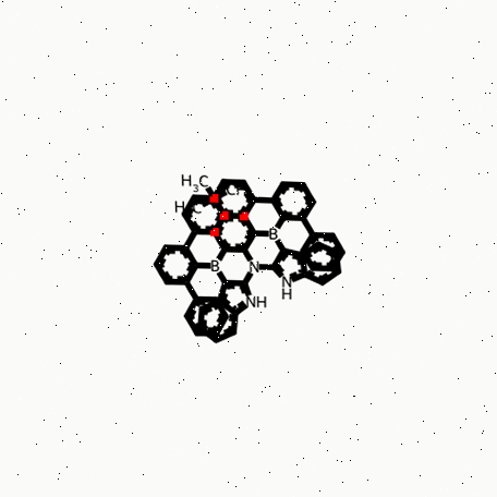 CC(C)(C)c1cc2c3c(c1)B(c1c(-c4ccccc4)cccc1-c1ccccc1)c1c([nH]c4ccccc14)N3c1[nH]c3ccccc3c1B2c1c(-c2ccccc2)cccc1-c1ccccc1